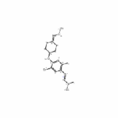 CCN(C)/C=N/c1cc(Br)c(OC2CCC(=NOC(C)C)CC2)nc1C